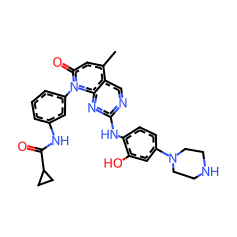 Cc1cc(=O)n(-c2cccc(NC(=O)C3CC3)c2)c2nc(Nc3ccc(N4CCNCC4)cc3O)ncc12